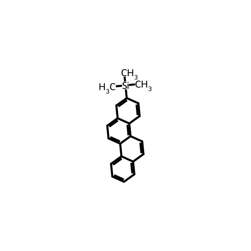 C[Si](C)(C)c1ccc2c(ccc3c4ccccc4ccc23)c1